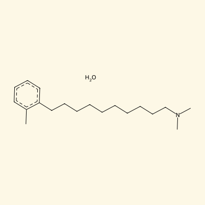 Cc1ccccc1CCCCCCCCCCN(C)C.O